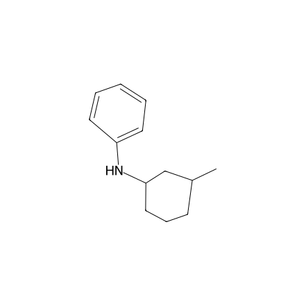 CC1CCCC(Nc2ccccc2)C1